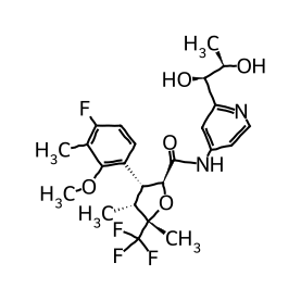 COc1c([C@@H]2[C@@H](C(=O)Nc3ccnc([C@@H](O)[C@@H](C)O)c3)O[C@](C)(C(F)(F)F)[C@@H]2C)ccc(F)c1C